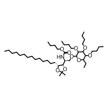 CCCCCCCCCCCCCC[C@H]1OC(C)(C)O[C@H]1[C@H](COC1OC(CC)C(OCCCC)C(OCCCC)C1OCCCC)NC(=O)OCCCC